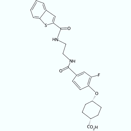 O=C(NCCNC(=O)c1cc2ccccc2s1)c1ccc(O[C@H]2CC[C@@H](C(=O)O)CC2)c(F)c1